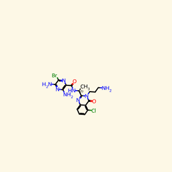 C[C@H](NC(=O)c1nc(Br)c(N)nc1N)c1nc2cccc(Cl)c2c(=O)n1CCCN